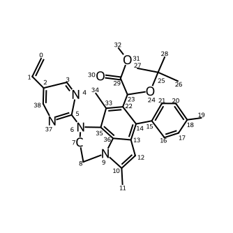 C=Cc1cnc(N2CCn3c(C)cc4c(-c5ccc(C)cc5)c(C(OC(C)(C)C)C(=O)OC)c(C)c2c43)nc1